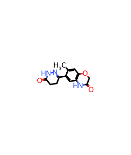 Cc1cc2c(cc1C1=NNC(=O)CC1)NC(=O)CO2